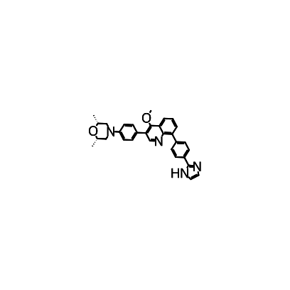 COc1c(-c2ccc(N3C[C@@H](C)O[C@@H](C)C3)cc2)cnc2c(-c3ccc(-c4ncc[nH]4)cc3)cccc12